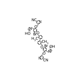 Cc1c(COc2cc(OCc3cncc(C#N)c3)c(CN3CC[C@H]3CO)cc2Br)cccc1-c1cccc(COc2cc(OCc3cncc(C#N)c3)c(CN3CC[C@H]3CO)cc2Br)c1C